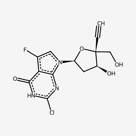 C#C[C@]1(CO)O[C@H](n2cc(F)c3c(=O)[nH]c(Cl)nc32)C[C@@H]1O